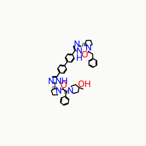 CC1(O)CCN([C@@H](C(=O)N2CCC[C@H]2c2ncc(-c3ccc(-c4ccc(-c5cnc([C@@H]6CCCN6C(=O)Cc6ccccc6)[nH]5)cc4)cc3)[nH]2)c2ccccc2)CC1